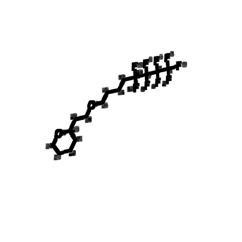 FC(F)(F)C(F)(F)C(F)(F)C(F)(F)CCCCOCCC1CCCCO1